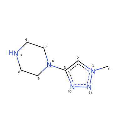 Cn1cc(N2CCNCC2)nn1